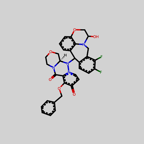 O=C1c2c(OCc3ccccc3)c(=O)ccn2N(C2c3ccc(F)c(F)c3CN3c4c(cccc42)OCC3O)[C@@H]2COCCN12